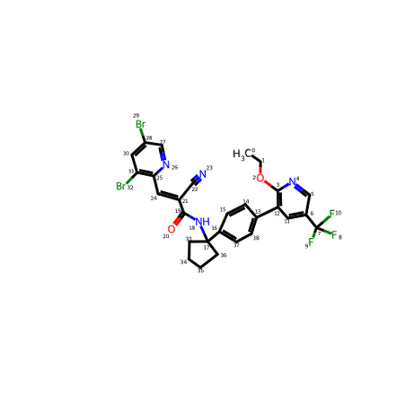 CCOc1ncc(C(F)(F)F)cc1-c1ccc(C2(NC(=O)C(C#N)=Cc3ncc(Br)cc3Br)CCCC2)cc1